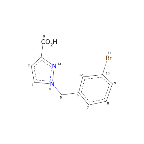 O=C(O)c1ccn(Cc2cccc(Br)c2)n1